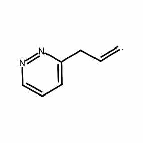 [CH]=CCc1cccnn1